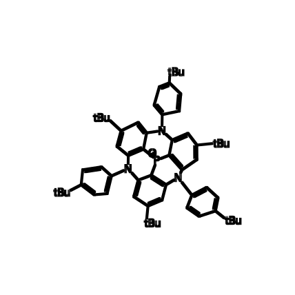 CC(C)(C)c1ccc(N2c3cc(C(C)(C)C)cc4c3P3(=O)c5c2cc(C(C)(C)C)cc5N(c2ccc(C(C)(C)C)cc2)c2cc(C(C)(C)C)cc(c23)N4c2ccc(C(C)(C)C)cc2)cc1